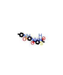 Cc1ccc(N[S+]([O-])c2ccc(NC(=O)c3ccc4c(c3)NC(=O)C(C)S4)cc2)cc1